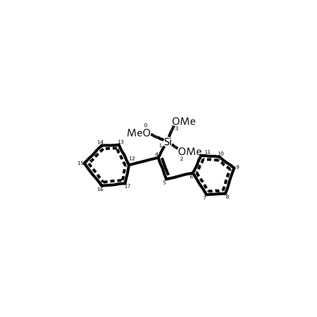 CO[Si](OC)(OC)C(=Cc1ccccc1)c1ccccc1